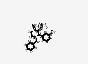 N/N=C1/C(c2cccc(Br)c2)N(Cc2ccccc2)CCN1N